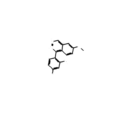 COc1ccc2c(-c3ccc(Cl)cc3N)nncc2c1